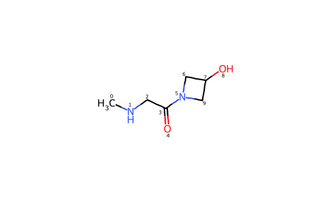 CNCC(=O)N1CC(O)C1